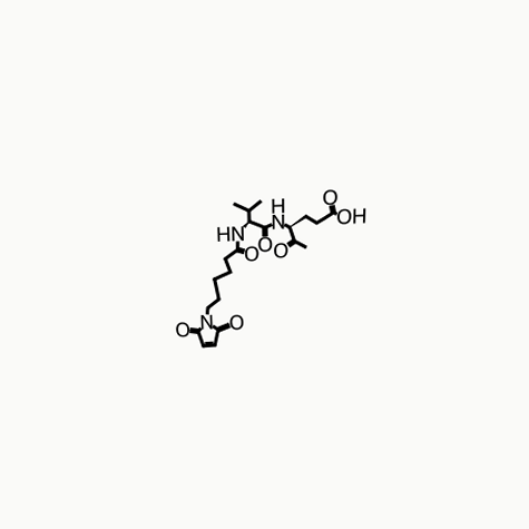 CC(=O)[C@H](CCC(=O)O)NC(=O)[C@@H](NC(=O)CCCCCN1C(=O)C=CC1=O)C(C)C